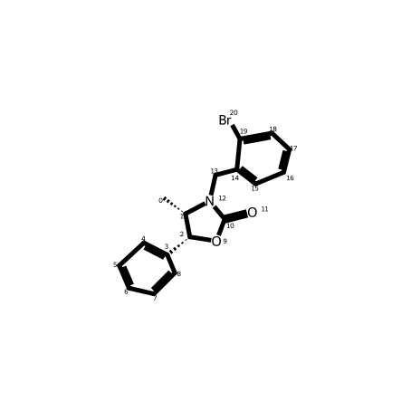 C[C@H]1[C@@H](c2ccccc2)OC(=O)N1Cc1ccccc1Br